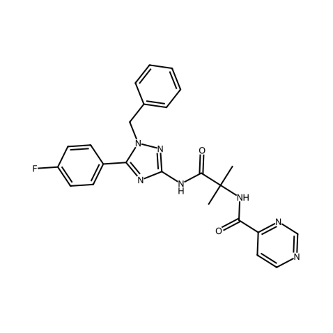 CC(C)(NC(=O)c1ccncn1)C(=O)Nc1nc(-c2ccc(F)cc2)n(Cc2ccccc2)n1